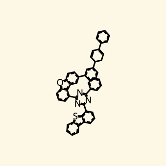 C1=CC(c2cccc(-c3ccc4oc5cccc(-c6nc(-c7ccccc7)nc(-c7cccc8c7sc7ccccc78)n6)c5c4c3)c2)CC=C1c1ccccc1